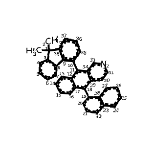 CC1(C)c2ccccc2-c2c(-c3c4ccccc4c(-c4cccc5ccccc45)c4ccncc34)cccc21